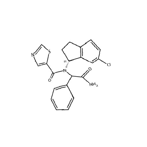 NC(=O)C(c1ccccc1)N(C(=O)c1cncs1)[C@@H]1CCc2ccc(Cl)cc21